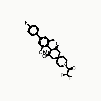 COc1cc(-c2ccc(F)cc2)cc(C)c1C1C(=O)CC2(CCN(C(=O)C(F)F)CC2)CC1=O